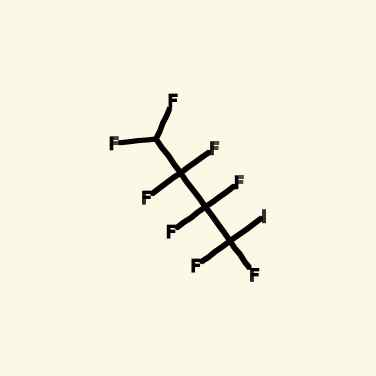 FC(F)C(F)(F)C(F)(F)C(F)(F)I